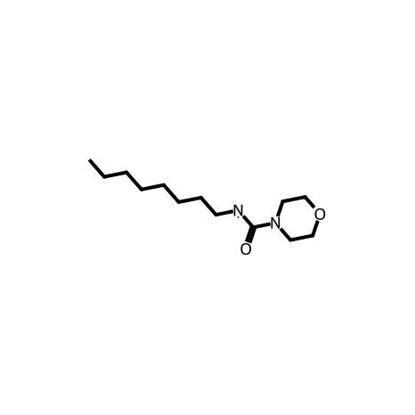 CCCCCCCC[N]C(=O)N1CCOCC1